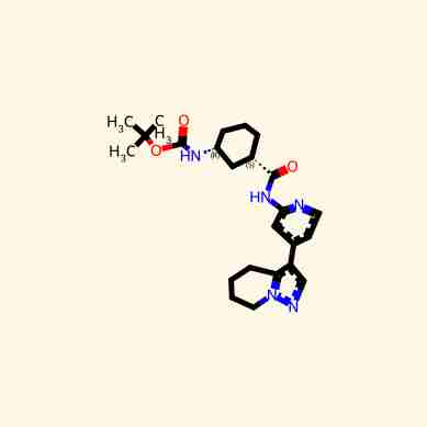 CC(C)(C)OC(=O)N[C@@H]1CCC[C@H](C(=O)Nc2cc(-c3cnn4c3CCCC4)ccn2)C1